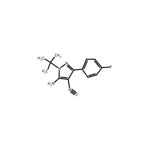 [C-]#[N+]c1c(-c2ccc(F)cc2)nn(C(C)(C)C)c1N